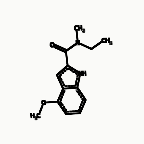 CCN(C)C(=O)c1cc2c(OC)cccc2[nH]1